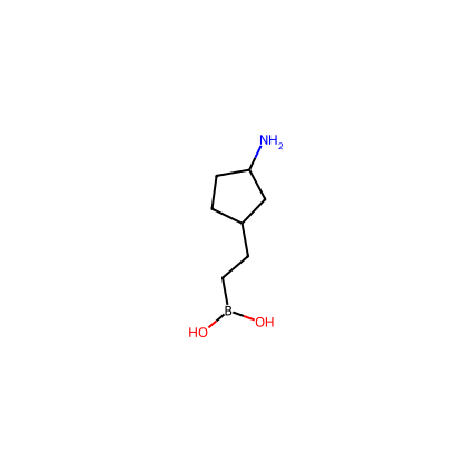 NC1CCC(CCB(O)O)C1